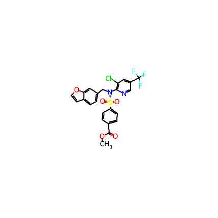 COC(=O)c1ccc(S(=O)(=O)N(Cc2ccc3ccoc3c2)c2ncc(C(F)(F)F)cc2Cl)cc1